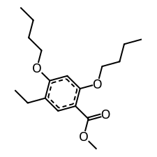 CCCCOc1cc(OCCCC)c(C(=O)OC)cc1CC